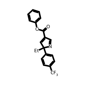 CCC1(c2ccc(C(F)(F)F)cc2)C=C(C(=O)Oc2ccccc2)C=N1